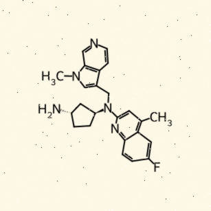 Cc1cc(N(Cc2cn(C)c3cnccc23)[C@H]2CC[C@H](N)C2)nc2ccc(F)cc12